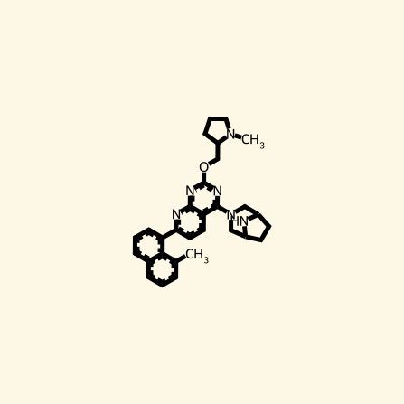 Cc1cccc2cccc(-c3ccc4c(N5CC6CCC(C5)N6)nc(OCC5CCCN5C)nc4n3)c12